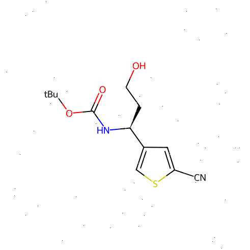 CC(C)(C)OC(=O)N[C@@H](CCO)c1csc(C#N)c1